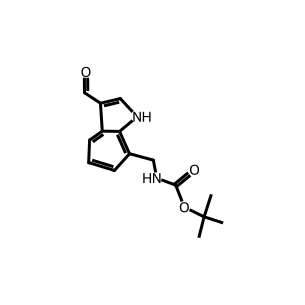 CC(C)(C)OC(=O)NCc1cccc2c(C=O)c[nH]c12